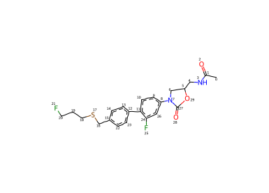 CC(=O)NCC1CN(c2ccc(-c3ccc(CSCCCF)cc3)c(F)c2)C(=O)O1